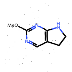 COc1ncc2c(n1)NCC2